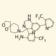 Nc1ccc(C(F)(F)F)nc1C1(CN2CCC3(CCOO3)CC2)N=CNc2cc(-c3ncccc3C(F)(F)F)ccc21